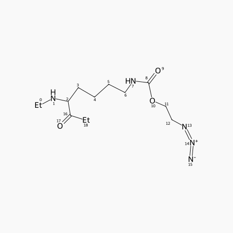 CCNC(CCCCNC(=O)OCCN=[N+]=[N-])C(=O)CC